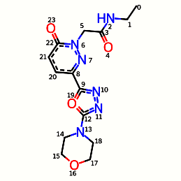 CCNC(=O)Cn1nc(-c2nnc(N3CCOCC3)o2)ccc1=O